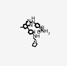 Cc1cc(-c2ccc(NCCN3CCCC3)nc2)c2nc(Nc3ccc(S(N)(=O)=O)cc3)ncc2c1